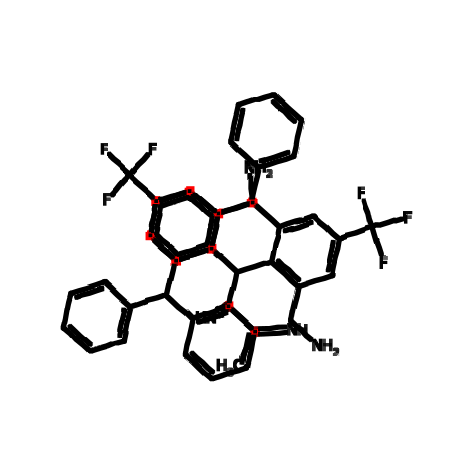 CC(=N)C(=N)C(c1c(CN)cc(C(F)(F)F)cc1C(c1ccccc1)c1ccccc1)c1c(CN)cc(C(F)(F)F)cc1C(c1ccccc1)c1ccccc1